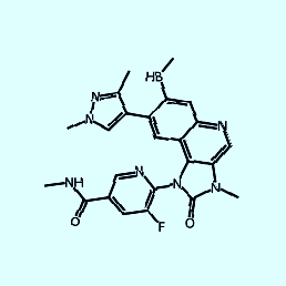 CBc1cc2ncc3c(c2cc1-c1cn(C)nc1C)n(-c1ncc(C(=O)NC)cc1F)c(=O)n3C